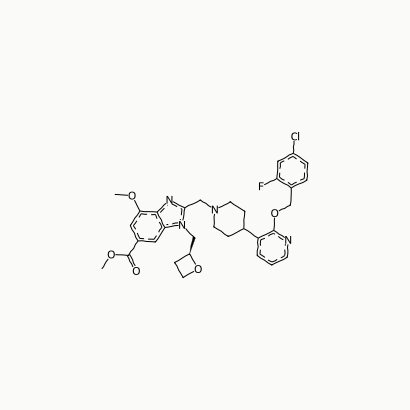 COC(=O)c1cc(OC)c2nc(CN3CCC(c4cccnc4OCc4ccc(Cl)cc4F)CC3)n(C[C@@H]3CCO3)c2c1